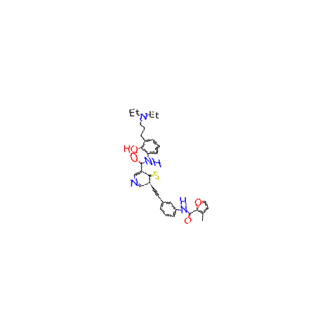 CCN(CC)CCCc1cccc(NC(=O)C2=CN=C[C@H](C#Cc3cccc(NC(=O)c4occc4C)c3)C2=S)c1O